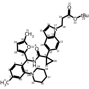 Cc1ccc(C(NC(=O)C2(c3ccc4c(ccn4CCC(=O)OC(C)(C)C)c3)CC2)c2ccc(C)o2)c(N2CCCCC2)c1